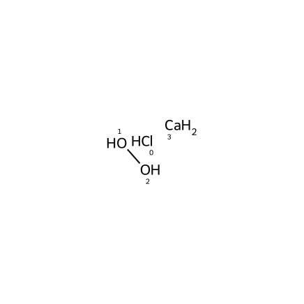 Cl.OO.[CaH2]